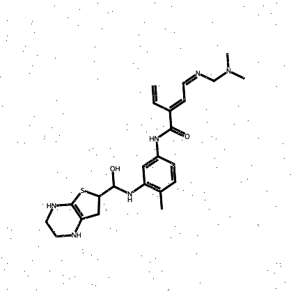 C=C/C(=C\C=N/CN(C)C)C(=O)Nc1ccc(C)c(NC(O)C2CC3=C(NCCN3)S2)c1